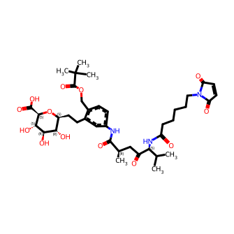 CC(C)[C@H](NC(=O)CCCCCN1C(=O)C=CC1=O)C(=O)C[C@@H](C)C(=O)Nc1ccc(COC(=O)C(C)(C)C)c(CC[C@@H]2O[C@H](C(=O)O)[C@@H](O)[C@H](O)[C@H]2O)c1